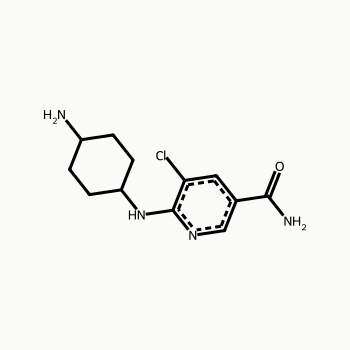 NC(=O)c1cnc(NC2CCC(N)CC2)c(Cl)c1